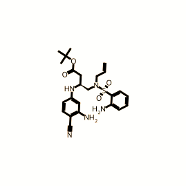 C=CCN(C[C@H](CC(=O)OC(C)(C)C)Nc1ccc(C#N)c(N)c1)S(=O)(=O)c1ccccc1N